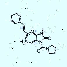 C=C(/C=C/C1=CCCC=C1)/N=C1\C(=C/N)N(C(=O)N2CCCC2)C(=O)N1C